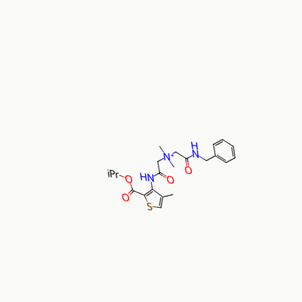 Cc1csc(C(=O)OC(C)C)c1NC(=O)C[N+](C)(C)CC(=O)NCc1ccccc1